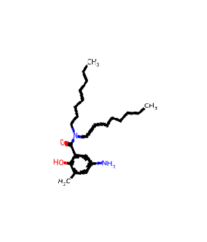 CCCCCCCCN(CCCCCCCC)C(=O)c1cc(N)cc(C)c1O